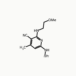 CCCNc1cc(C)c(C#N)c(NCCOC)n1